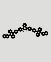 c1ccc2cc(-c3c4ccccc4c(-c4ccc(-c5ccc6c(c5)sc5c7sc8cc(-c9ccc(-c%10c%11ccccc%11c(-c%11ccc%12ccccc%12c%11)c%11ccccc%10%11)cc9)ccc8c7c7ccccc7c65)cc4)c4ccccc34)ccc2c1